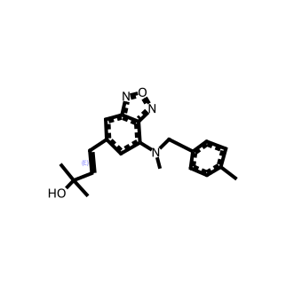 Cc1ccc(CN(C)c2cc(/C=C/C(C)(C)O)cc3nonc23)cc1